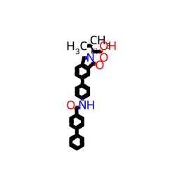 CC(C)[C@@H](C(=O)O)N1Cc2ccc(-c3ccc(NC(=O)c4ccc(-c5ccccc5)cc4)cc3)cc2C1=O